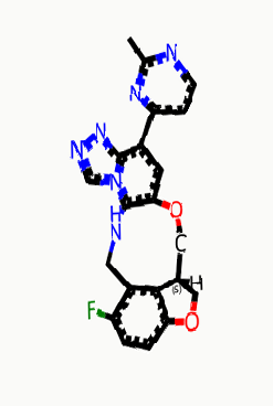 Cc1nccc(-c2cc3c(n4cnnc24)NCc2c(F)ccc4c2[C@@H](CO4)CO3)n1